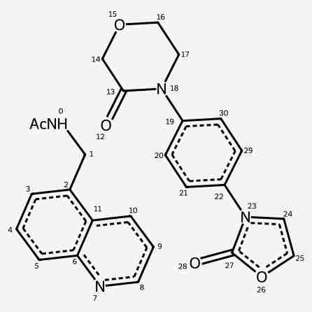 CC(=O)NCc1cccc2ncccc12.O=C1COCCN1c1ccc(-n2ccoc2=O)cc1